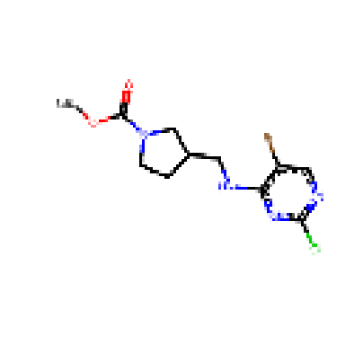 CC(C)(C)OC(=O)N1CCC(CNc2nc(Cl)ncc2Br)C1